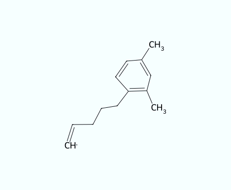 [CH]=CCCCc1ccc(C)cc1C